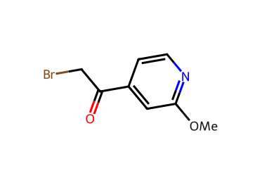 COc1cc(C(=O)CBr)ccn1